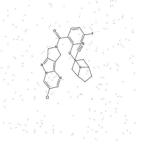 N#CCN1C2CCC1CC(Oc1cc(F)ccc1C(=O)N1Cc3nn4cc(Cl)cnc4c3C1)C2